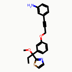 CCC(OC)(c1cccc(OCC#Cc2cccc(N)c2)c1)c1nccs1